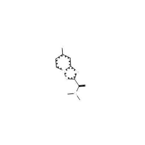 CN(C)C(=O)c1nc2cc(Br)ccn2n1